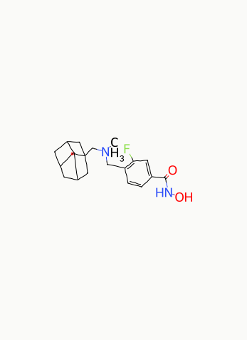 CN(Cc1ccc(C(=O)NO)cc1F)CC12CC3CC(CC(C3)C1)C2